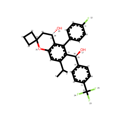 CC(C)c1cc2c(c(-c3ccc(F)cc3)c1[C@@H](O)c1ccc(C(F)(F)F)cc1)[C@@H](O)CC1(CCC1)O2